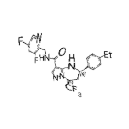 CCc1ccc([C@H]2C[C@@H](C(F)(F)F)n3ncc(C(=O)NCc4ncc(F)cc4F)c3N2)cc1